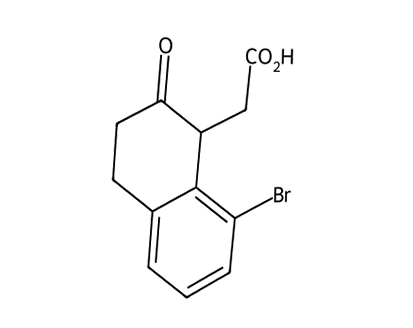 O=C(O)CC1C(=O)CCc2cccc(Br)c21